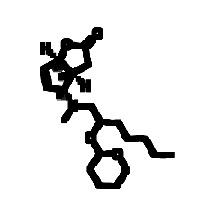 CCCCCC(CN(C)[C@@H]1C=C[C@H]2OC(=O)C[C@@H]12)OC1CCCCO1